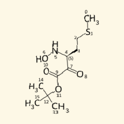 CSCC[C@H](NO)C(=O)C(=O)OC(C)(C)C